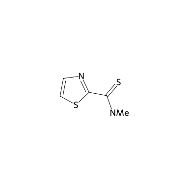 CNC(=S)c1nccs1